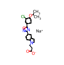 CC(C)Oc1ccc(-c2nc(-c3ccc4c(ccn4CCC(=O)[O-])c3)no2)cc1Cl.[Na+]